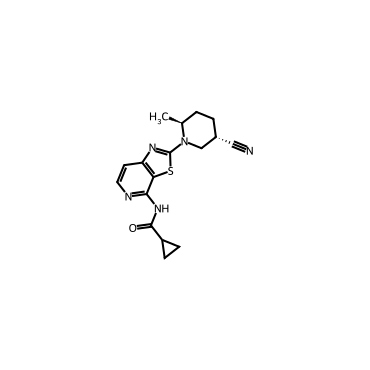 C[C@H]1CC[C@H](C#N)CN1c1nc2ccnc(NC(=O)C3CC3)c2s1